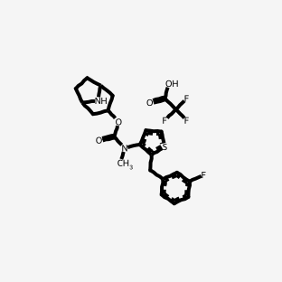 CN(C(=O)OC1CC2CCC(C1)N2)c1ccsc1Cc1cccc(F)c1.O=C(O)C(F)(F)F